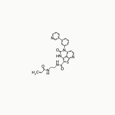 C=CC(=O)NCCNC(=O)c1sc2nccc3c2c1NC(=O)N3c1cccc(-c2cccnc2)c1